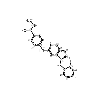 CNC(=O)c1ccc(Nc2cc3c(cn2)cnn3Cc2ccccc2F)nc1